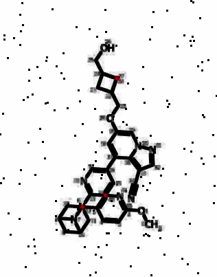 COc1ccc(CN2C3CC2CN(c2ccc(-c4cc(OCC56CC(CO)(C5)C6)cn5ncc(C#N)c45)cn2)C3)cn1